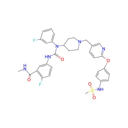 CNC(=O)c1cc(NC(=O)N(c2cccc(F)c2)C2CCN(Cc3ccc(Oc4ccc(NS(C)(=O)=O)cc4)nc3)CC2)ccc1F